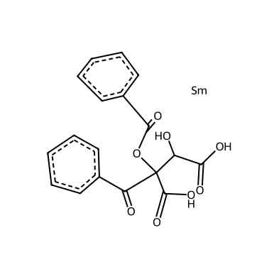 O=C(OC(C(=O)O)(C(=O)c1ccccc1)C(O)C(=O)O)c1ccccc1.[Sm]